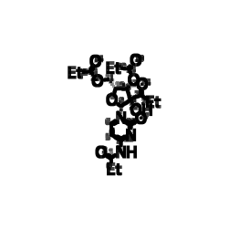 CCC(=O)Nc1ccn([C@@H]2O[C@H](COC(=O)CC)[C@@H](OC(=O)CC)[C@]2(O)C(=O)CC)c(=O)n1